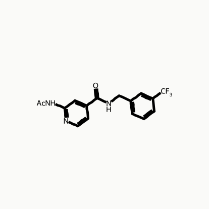 CC(=O)Nc1cc(C(=O)NCc2cccc(C(F)(F)F)c2)ccn1